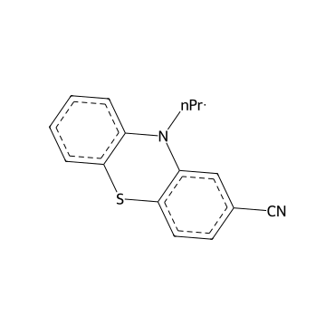 CC[CH]N1c2ccccc2Sc2ccc(C#N)cc21